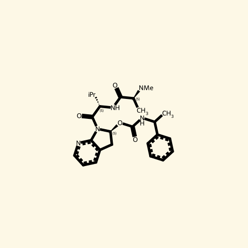 CN[C@@H](C)C(=O)N[C@H](C(=O)N1c2ncccc2C[C@@H]1OC(=O)NC(C)c1ccccc1)C(C)C